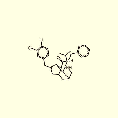 CC(C)CC1C2CNC3(C(=O)NCc4ccccc4)C(C2)CN(Cc2ccc(Cl)c(Cl)c2)C13